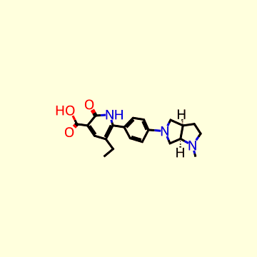 CCc1cc(C(=O)O)c(=O)[nH]c1-c1ccc(N2C[C@H]3CCN(C)[C@H]3C2)cc1